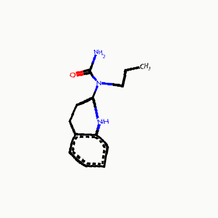 CCCN(C(N)=O)C1CCc2ccccc2N1